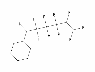 FC(F)C(F)C(F)(F)C(F)(F)C(F)(F)C(I)C1CCCCC1